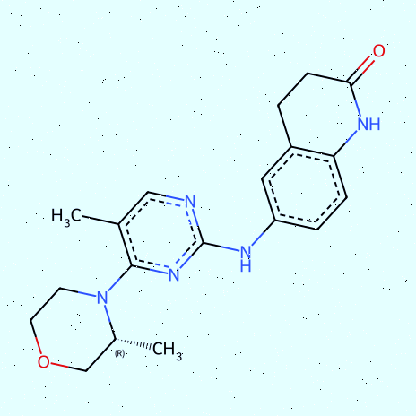 Cc1cnc(Nc2ccc3c(c2)CCC(=O)N3)nc1N1CCOC[C@H]1C